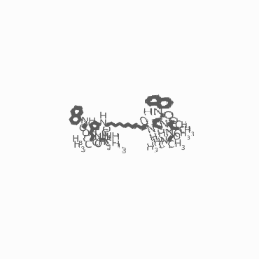 CN[C@@H](C)C(=O)N[C@H](C(=O)C1C[C@@H](NC(=O)CCCCCCCCC(=O)N[C@H]2C[C@@H](C(=O)N[C@@H]3CCCc4ccccc43)N(C(=O)[C@@H](NC(=O)[C@H](C)NC)C(C)(C)C)C2)C[C@H]1C(=O)N[C@@H]1CCCc2ccccc21)C(C)(C)C